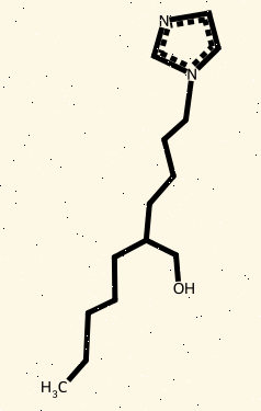 CCCCCC(CO)CCCCn1ccnc1